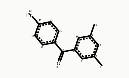 Cc1cc(C)cc(C(=O)c2ccc(C(C)C)cc2)c1